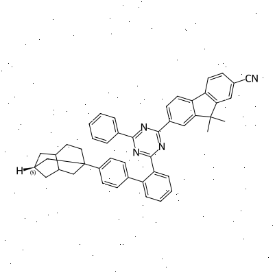 CC1(C)c2cc(C#N)ccc2-c2ccc(-c3nc(-c4ccccc4)nc(-c4ccccc4-c4ccc(C56CCC7C[C@@H](CC7C5)C6)cc4)n3)cc21